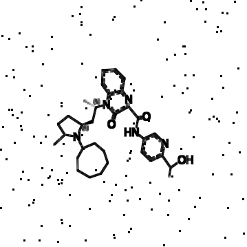 CC(O)c1ccc(NC(=O)c2nc3ccccc3n([C@@H](C)C[C@@H]3CCC(C)N3C3CCCCCCC3)c2=O)cn1